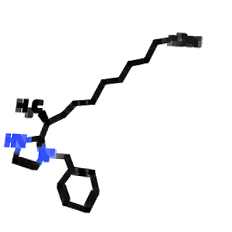 CCCCCCCCCCCCCCCCCC[C@H](C)c1[nH]cc[n+]1Cc1ccccc1